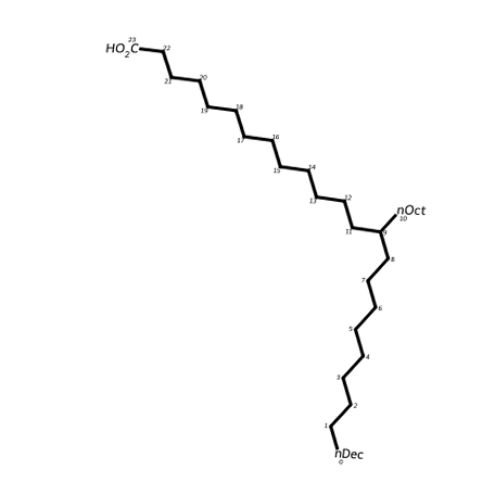 CCCCCCCCCCCCCCCCCCC(CCCCCCCC)CCCCCCCCCCCCC(=O)O